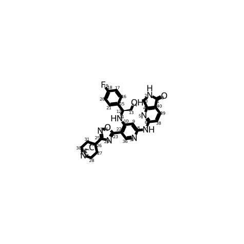 O=C1NCc2nc(Nc3cc(N[C@H](CO)c4ccc(F)cc4)c(-c4nc(C56CCN(CC5)CC6)no4)cn3)ccc21